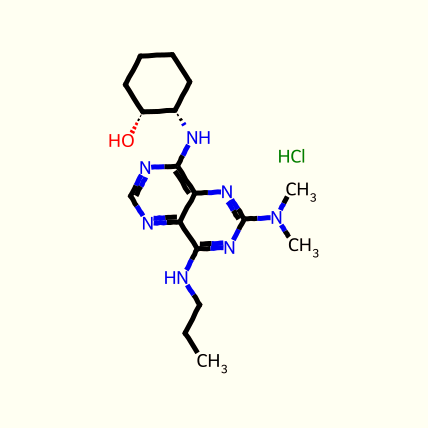 CCCNc1nc(N(C)C)nc2c(N[C@H]3CCCC[C@H]3O)ncnc12.Cl